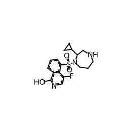 O=S(=O)(c1cccc2c(O)ncc(F)c12)N1CCCNCC1C1CC1